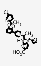 CC(C1Nc2nc(C(=O)O)ccc2N1C[C@@H]1CCO1)N1CC=C(c2cccc3c2O[C@@](C)(c2ccc(Cl)cn2)O3)CC1